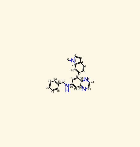 Cn1ccc2ccc(-c3cc(NCc4ccccc4)cc4nccnc34)cc21